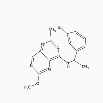 COc1ncc2nc(C)nc(NC(C)c3cccc(Br)c3)c2n1